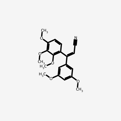 COc1cc(OC)cc(C(=CC#N)c2ccc(OC)c(OC)c2OC)c1